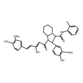 COc1cc(/C=C/C(O)=C/C(=O)C2C(c3ccc(O)c(OC)c3)C(C(=O)Nc3ccccc3C)N3CCCCC23)ccc1O